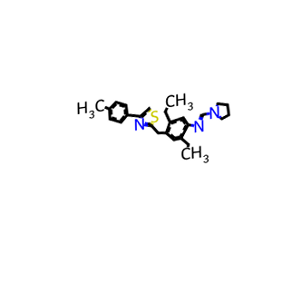 CCc1cc(N=CN2CCCC2)c(CC)cc1Cc1nc(-c2ccc(C)cc2)cs1